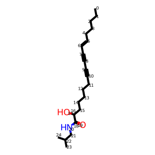 CCCCCC=CC#CC#CCCCCCC(O)C(=O)NCC(C)C